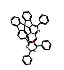 c1ccc(-c2nc(-c3ccccc3)nc(-c3ccc4c(c3)C3(c5ccccc5-4)c4ccccc4-c4c(-c5ccccc5)nc5ccccc5c43)n2)cc1